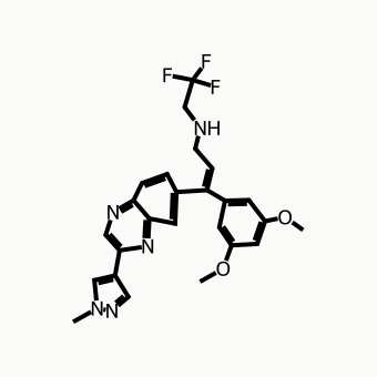 COc1cc(OC)cc(/C(=C/CNCC(F)(F)F)c2ccc3ncc(-c4cnn(C)c4)nc3c2)c1